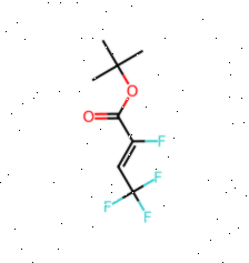 CC(C)(C)OC(=O)C(F)=CC(F)(F)F